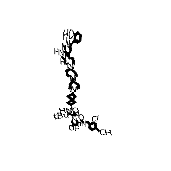 C#Cc1ccc(CNC(=O)[C@@H]2C[C@@H](O)CN2C(=O)[C@@H](NC(=O)[C@H]2CC3(C2)C[C@H](N2CCC(N4CCC(N5CCN6c7cc(-c8ccccc8O)nnc7NC[C@H]6C5)CC4)CC2)C3)C(C)(C)C)c(Cl)c1